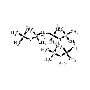 C[Si](C)(C)[N-][Si](C)(C)C.C[Si](C)(C)[N-][Si](C)(C)C.C[Si](C)(C)[N-][Si](C)(C)C.[Sc+3]